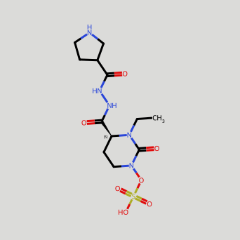 CCN1C(=O)N(OS(=O)(=O)O)CC[C@H]1C(=O)NNC(=O)C1CCNC1